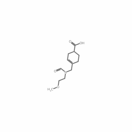 COCCN(C=O)CC1=CCC(C(=O)O)CC1